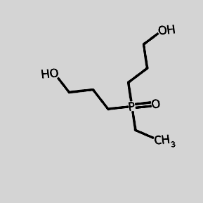 CCP(=O)(CCCO)CCCO